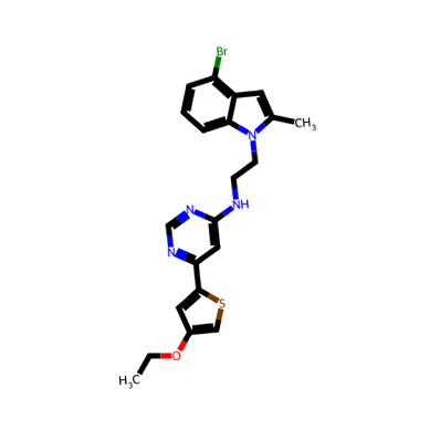 CCOc1csc(-c2cc(NCCn3c(C)cc4c(Br)cccc43)ncn2)c1